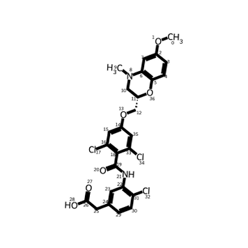 COc1ccc2c(c1)N(C)C[C@@H](COc1cc(Cl)c(C(=O)Nc3cc(CC(=O)O)ccc3Cl)c(Cl)c1)O2